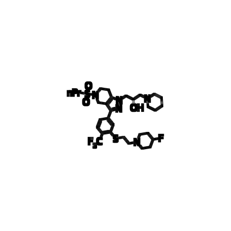 CCCS(=O)(=O)N1CCc2c(c(-c3ccc(C(F)(F)F)c(SCCN4CCC(F)CC4)c3)nn2C[C@@H](O)CN2CCCCC2)C1